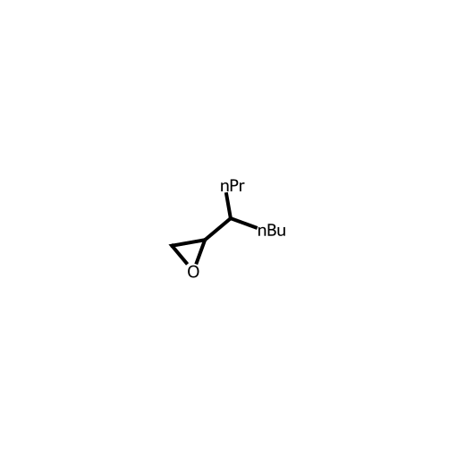 CCCCC(CCC)C1CO1